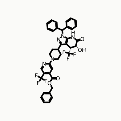 O=C(OCc1ccccc1)c1cc(N2CCC(c3nn(C(c4ccccc4)c4ccccc4)c4c3[C@@H](C(F)(F)F)[C@@H](O)C(=O)N4)CC2)ncc1C(F)(F)F